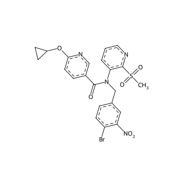 CS(=O)(=O)c1ncccc1N(Cc1ccc(Br)c([N+](=O)[O-])c1)C(=O)c1ccc(OC2CC2)nc1